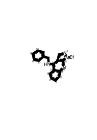 CCn1ncc2c(NCc3ccccc3)c3ccccc3nc21